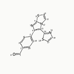 O=Cc1ccc(-c2nc3sccn3c2-c2nccs2)cc1